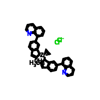 CC1=Cc2ccc(-c3cccc4cccnc34)cc2[CH]1[Zr+2]1([CH]2C(C)=Cc3ccc(-c4cccc5cccnc45)cc32)[CH2][CH2]1.[Cl-].[Cl-]